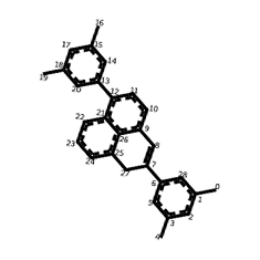 Cc1cc(C)cc(C2=Cc3ccc(-c4cc(C)cc(C)c4)c4cccc(c34)C2)c1